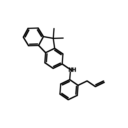 C=CCc1ccccc1Nc1ccc2c(c1)C(C)(C)c1ccccc1-2